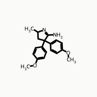 COc1ccc(C2(c3ccc(OC)cc3)CC(C)N=C2N)cc1